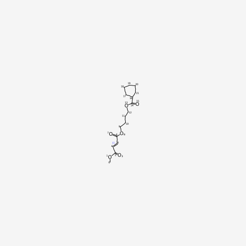 COC(=O)/C=C/C(=O)OCCCCOC(=O)C1CCCCC1